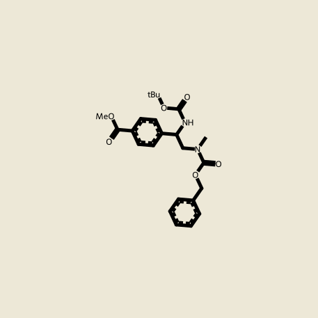 COC(=O)c1ccc(C(CN(C)C(=O)OCc2ccccc2)NC(=O)OC(C)(C)C)cc1